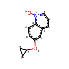 [O-][n+]1cccc2cc(OC3CC3)ccc21